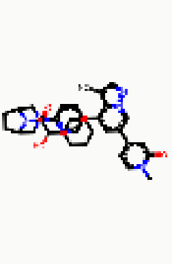 Cn1ccc(-c2cc(-c3ccc(N4CC5CCC(C4)N5C(=O)[C@H](O)C4CCCCC4)nc3)c3c(C#N)cnn3c2)cc1=O